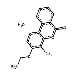 Cc1c(OCC(=O)O)ccc2c1oc(=O)c1ccccc12.O